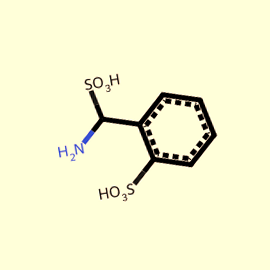 NC(c1ccccc1S(=O)(=O)O)S(=O)(=O)O